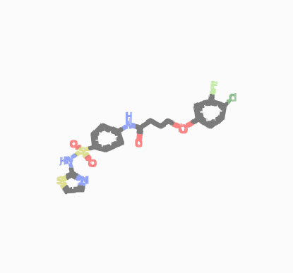 O=C(CCCOc1ccc(Cl)c(F)c1)Nc1ccc(S(=O)(=O)Nc2nccs2)cc1